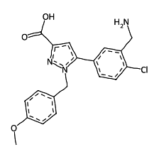 COc1ccc(Cn2nc(C(=O)O)cc2-c2ccc(Cl)c(CN)c2)cc1